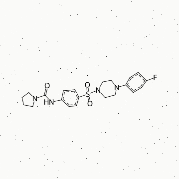 O=C(Nc1ccc(S(=O)(=O)N2CCN(c3ccc(F)cc3)CC2)cc1)N1CCCC1